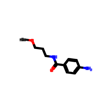 CCCCOCCCNC(=O)c1ccc(N)cc1